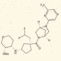 CO[C@@H]1COCC[C@@H]1N[C@H]1CC[C@](CC(F)F)(C(=O)N2C[C@@H]3C[C@H]2CN3c2cncc(C(F)(F)F)n2)C1